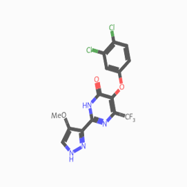 COc1c[nH]nc1-c1nc(C(F)(F)F)c(Oc2ccc(Cl)c(Cl)c2)c(=O)[nH]1